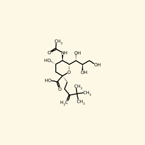 C=C(CC[C@]1(C(=O)O)C[C@H](O)[C@@H](NC(C)=O)[C@H]([C@H](O)[C@H](O)CO)O1)C(C)(C)C